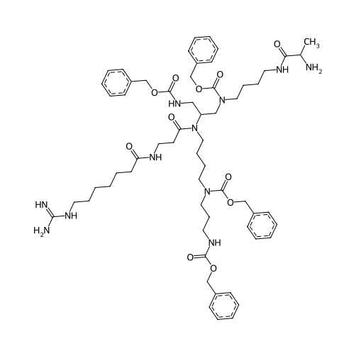 CC(N)C(=O)NCCCCN(CC(CNC(=O)OCc1ccccc1)N(CCCCN(CCCNC(=O)OCc1ccccc1)C(=O)OCc1ccccc1)C(=O)CCNC(=O)CCCCCCNC(=N)N)C(=O)OCc1ccccc1